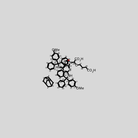 C1C2CC3CC1CC(C2)C3.COc1ccc(C(Nc2nc(NC(c3ccccc3)(c3ccccc3)c3ccc(OC)cc3)c3ncn(C(OCCCC(=O)O)C(=O)O)c3n2)(c2ccccc2)c2ccccc2)cc1